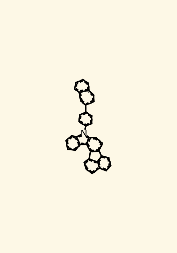 c1ccc2cc(-c3ccc(-n4c5ccccc5c5c6c(ccc54)-c4cccc5cccc-6c45)cc3)ccc2c1